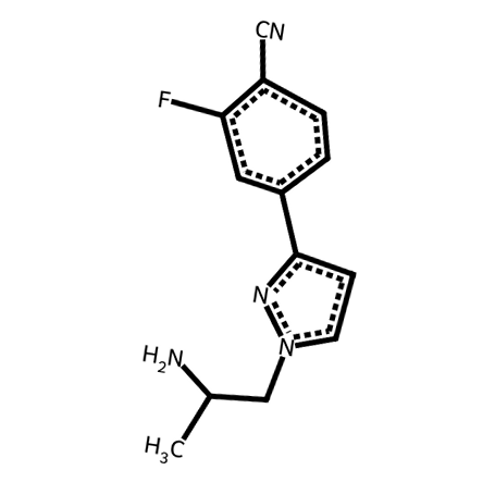 CC(N)Cn1ccc(-c2ccc(C#N)c(F)c2)n1